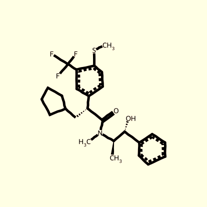 CSc1ccc([C@@H](CC2CCCC2)C(=O)N(C)[C@H](C)[C@H](O)c2ccccc2)cc1C(F)(F)F